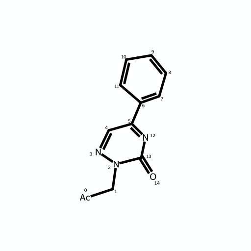 CC(=O)Cn1ncc(-c2ccccc2)nc1=O